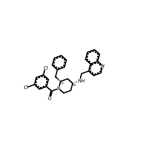 O=C(c1cc(Cl)cc(Cl)c1)N1CC[C@@H](NCc2ccnc3ccccc23)C[C@@H]1Cc1ccccc1